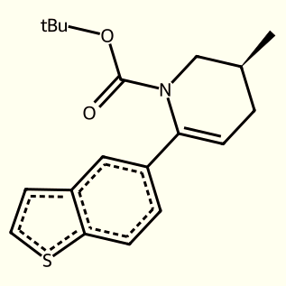 C[C@H]1CC=C(c2ccc3sccc3c2)N(C(=O)OC(C)(C)C)C1